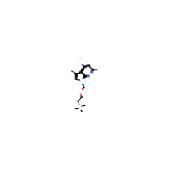 CCCNc1cc(Cl)nc2c1c(Cl)cn2COCC[Si](C)(C)C